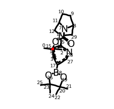 CC(C)(C)OC(=O)N1C2CCC1CN(c1ccc(B3OC(C)(C)C(C)(C)O3)cn1)C2